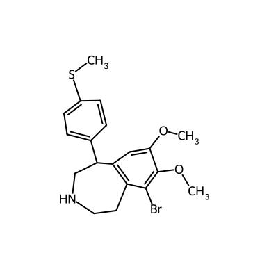 COc1cc2c(c(Br)c1OC)CCNCC2c1ccc(SC)cc1